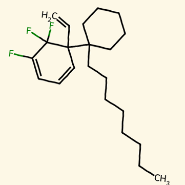 C=CC1(C2(CCCCCCCC)CCCCC2)C=CC=C(F)C1(F)F